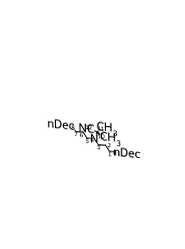 CCCCCCCCCCCCCN(CCCCCCCCCCCCC)C(C)(C)C#N